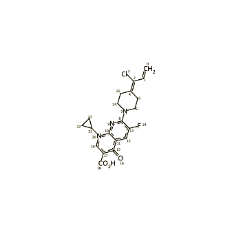 C=CC(Cl)=C1CCN(c2nc3c(cc2F)c(=O)c(C(=O)O)cn3C2CC2)CC1